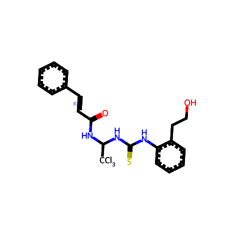 O=C(/C=C/c1ccccc1)NC(NC(=S)Nc1ccccc1CCO)C(Cl)(Cl)Cl